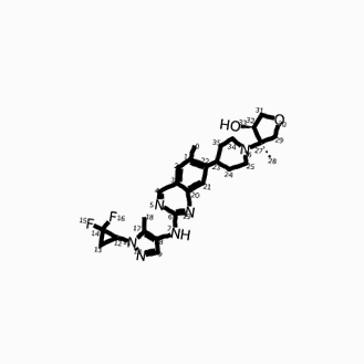 Cc1cc2cnc(Nc3cnn(C4CC4(F)F)c3C)nc2cc1C1CCN([C@]2(C)COC[C@@H]2O)CC1